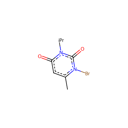 Cc1cc(=O)n(C(C)C)c(=O)n1Br